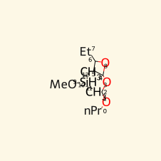 CCCOCOC1CC(CC)O1.CO[SiH](C)C